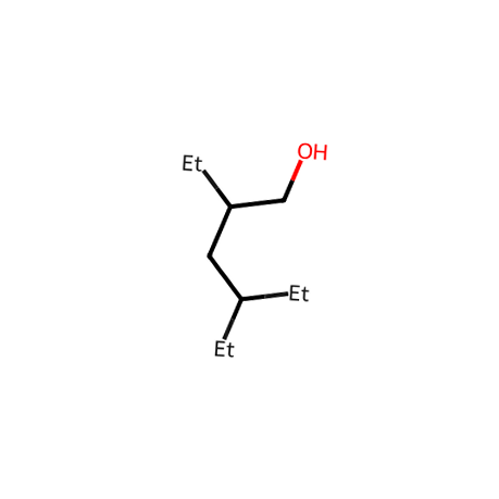 CCC(CC)CC(CC)CO